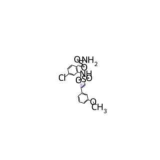 COc1cccc(/C=C/S(=O)(=O)Nc2cc(Cl)ccc2S(N)(=O)=O)c1